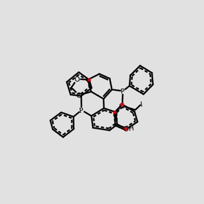 Oc1ccc(P(c2ccccc2)c2ccccc2)c(C2=C(P(c3ccccc3)c3ccccc3)C=CC3OCOC23)c1OCI